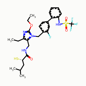 CCOc1nc(CC)c(CNC(=O)[C@@H](S)CC(C)C)n1Cc1ccc(-c2ccccc2NS(=O)(=O)C(F)(F)F)cc1F